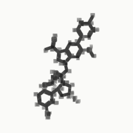 COc1cc2c(cc1-c1cnc(C)nc1)c(C(C)=O)cn2CC(=O)N1C[C@H](F)C[C@@]1(C(N)=O)c1cccc(Br)n1